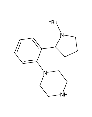 CC(C)(C)N1CCCC1c1ccccc1N1CCNCC1